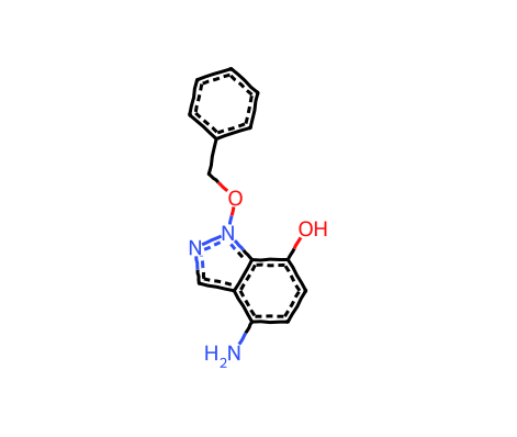 Nc1ccc(O)c2c1cnn2OCc1ccccc1